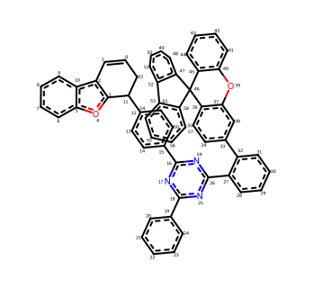 C1=Cc2c(oc3ccccc23)C(c2ccc(-c3nc(-c4ccccc4)nc(-c4ccccc4-c4ccc5c(c4)Oc4ccccc4C54c5ccccc5-c5ccccc54)n3)cc2)C1